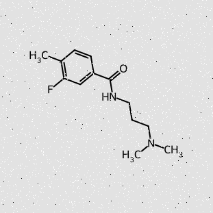 Cc1ccc(C(=O)NCCCN(C)C)cc1F